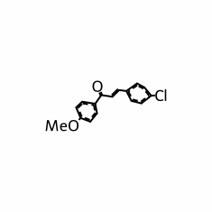 COc1ccc(C(=O)C=Cc2ccc(Cl)cc2)cc1